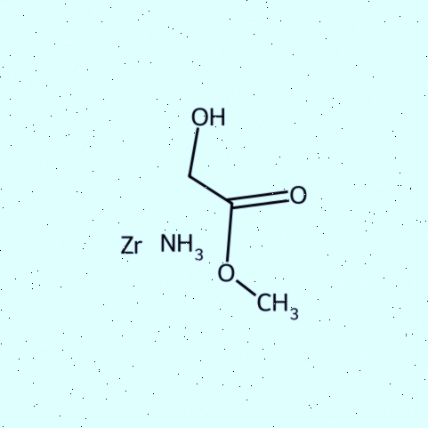 COC(=O)CO.N.[Zr]